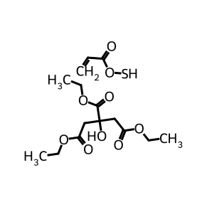 C=CC(=O)OS.CCOC(=O)CC(O)(CC(=O)OCC)C(=O)OCC